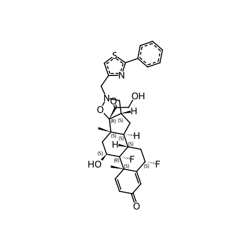 C[C@]12C=CC(=O)C=C1[C@@H](F)C[C@H]1[C@@H]3C[C@H]4CN(Cc5csc(-c6ccccc6)n5)O[C@@]4(C(=O)CO)[C@@]3(C)C[C@H](O)[C@@]12F